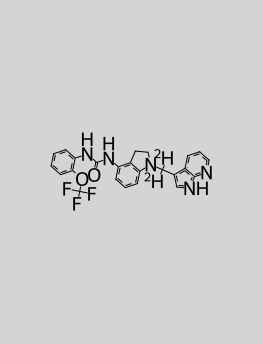 [2H]C([2H])(c1c[nH]c2ncccc12)N1CCc2c(NC(=O)Nc3ccccc3OC(F)(F)F)cccc21